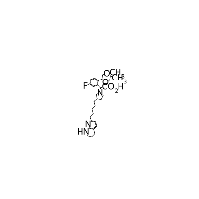 CC1(C)COC(c2ccc(F)cc2C(C(=O)O)N2CC[C@@H](CCCCCc3ccc4c(n3)NCCC4)C2)CO1